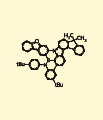 CC(C)(C)c1ccc(N2B3c4cc5c(cc4-n4c6ccc7c(c6c6ccc(c3c64)-c3cc(C(C)(C)C)ccc32)-c2ccccc2C7(C)C)oc2ccccc25)cc1